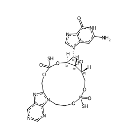 Nc1cc2c(ncn2[C@@H]2O[C@@H]3COP(=O)(S)OCCn4c(nc5cncnc54)COP(=O)(S)O[C@@H]2[C@@H]3F)c(=O)[nH]1